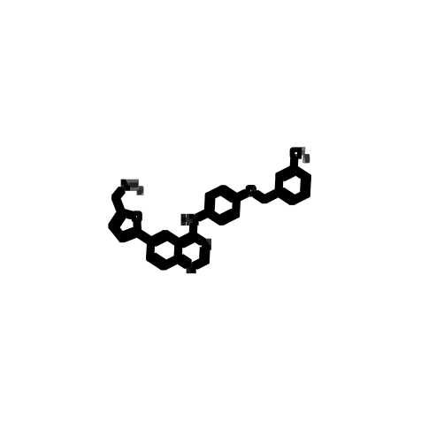 NCc1ccc(-c2ccc3ncnc(Nc4ccc(OCc5cccc(C(F)(F)F)c5)cc4)c3c2)o1